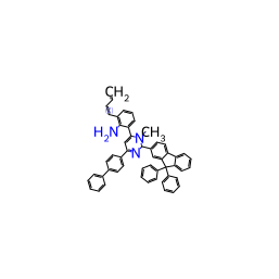 C=C/C=C\c1cccc(C2=CC(c3ccc(-c4ccccc4)cc3)=NC(c3ccc4c(c3)C(c3ccccc3)(c3ccccc3)c3ccccc3-4)N2C)c1N